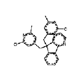 Cc1cc(CC2(Cc3cc(C)nc(Cl)c3)c3ccccc3-c3ncccc32)cc(Cl)n1